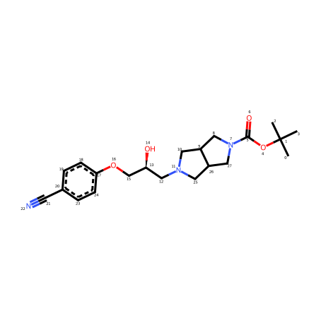 CC(C)(C)OC(=O)N1CC2CN(C[C@H](O)COc3ccc(C#N)cc3)CC2C1